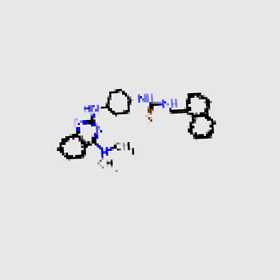 CN(C)c1nc(N[C@H]2CC[C@@H](NC(=S)NCc3cccc4ccccc34)CC2)nc2ccccc12